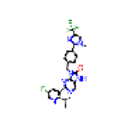 CC(C)c1ncc(F)cc1-c1ncc2[nH]c(=O)n(Cc3ccc(-c4nc(C(F)(F)F)cn4C)cc3)c2n1